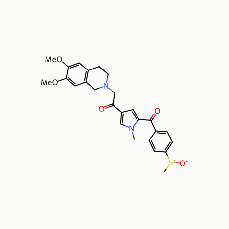 COc1cc2c(cc1OC)CN(CC(=O)c1cc(C(=O)c3ccc([S+](C)[O-])cc3)n(C)c1)CC2